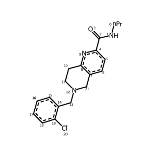 CCCNC(=O)c1ccc2c(n1)CCN(Cc1ccccc1Cl)C2